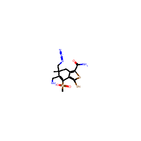 CC1(CN=[N+]=[N-])Cc2c(C(N)=O)sc(S)c2C(S(C)(=O)=O)=C1CN